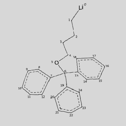 [Li][CH2]CCCOC(c1ccccc1)(c1ccccc1)c1ccccc1